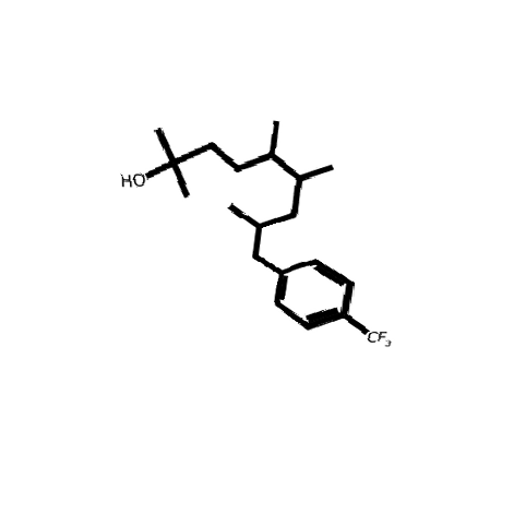 CC(Cc1ccc(C(F)(F)F)cc1)CC(C)C(C)CCC(C)(C)O